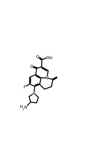 C=C1CCc2c(N3CCC(N)C3)c(F)cc3c(=O)c(C(=O)O)cn1c23